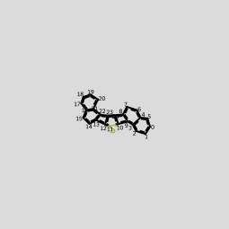 c1ccc2c(c1)ccc1c2c2sc3c4ccc5ccccc5c4c3c12